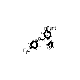 CCCCCN1CC[C@H](c2ccsc2)[C@@H](COc2ccc(C(F)(F)F)cc2)C1